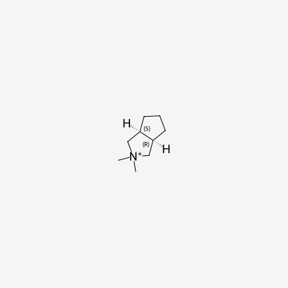 C[N+]1(C)C[C@H]2CCC[C@H]2C1